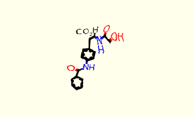 O=C(CO)NC(Cc1ccc(NC(=O)c2ccccc2)cc1)C(=O)O